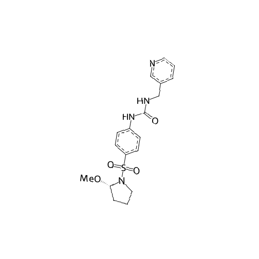 CO[C@H]1CCCN1S(=O)(=O)c1ccc(NC(=O)NCc2cccnc2)cc1